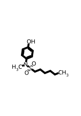 CCCCCCS(=O)(=O)N(C)c1ccc(O)cc1